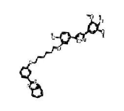 COc1ccc(-c2cc(-c3cc(OC)c(OC)c(OC)c3)no2)cc1OCCCCCCOc1cccc(-c2nc3ccccc3s2)c1